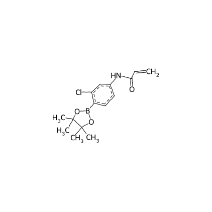 C=CC(=O)Nc1ccc(B2OC(C)(C)C(C)(C)O2)c(Cl)c1